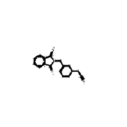 N#CCC1CCC=C(CN2C(=O)c3ccccc3C2=O)C1